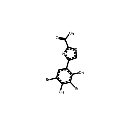 O=C(O)c1nc(-c2cc(Br)c(O)c(Br)c2O)cs1